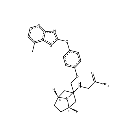 Cc1ccnc2nc(Oc3ccc(OCCN4[C@@H]5CC[C@H]4CC(NCC(N)=O)C5)cc3)sc12